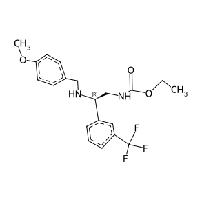 CCOC(=O)NC[C@H](NCc1ccc(OC)cc1)c1cccc(C(F)(F)F)c1